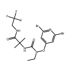 CCN(Oc1cc(Br)nc(Br)c1)C(=O)NC(C)(C)C(=O)NCC(F)(F)F